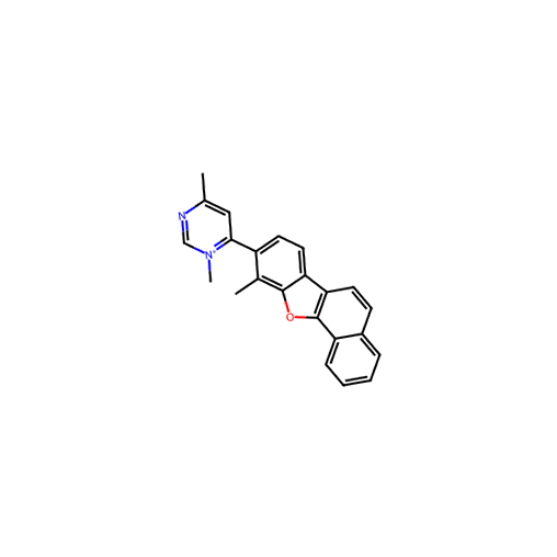 Cc1cc(-c2ccc3c(oc4c5ccccc5ccc34)c2C)[n+](C)cn1